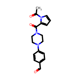 CC(=O)n1cccc1C(=O)N1CCN(c2ccc(C=O)cc2)CC1